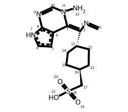 C=N/C(=C1/c2cc[nH]c2N=CN1N)[C@H]1CC[C@H](CS(=O)(=O)O)CC1